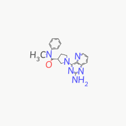 CN(C(=O)[C@H]1CCN(c2nc(N)nc3cccnc23)C1)c1ccccc1